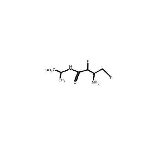 CC(NC(=O)C(F)C(N)CF)C(=O)O